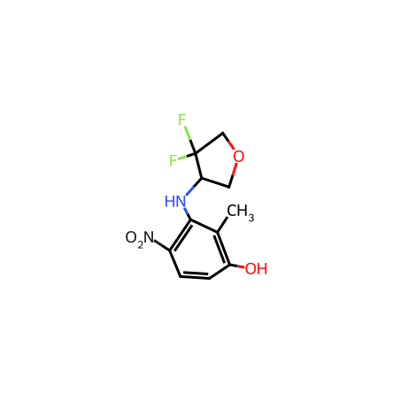 Cc1c(O)ccc([N+](=O)[O-])c1NC1COCC1(F)F